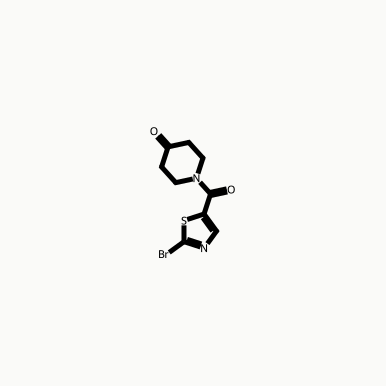 O=C1CCN(C(=O)c2cnc(Br)s2)CC1